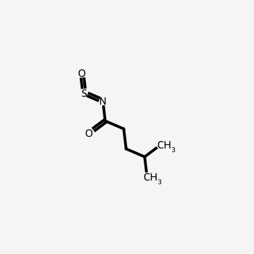 CC(C)CCC(=O)N=S=O